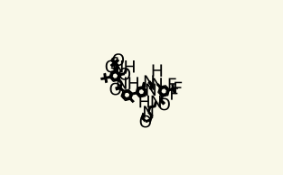 COc1c(NC(=O)c2ccc(C)c(-c3ccc4nc(Nc5cc(C(=O)NCCN6CCOCC6)cc(C(F)(F)F)c5)ncc4c3)c2)cc(C(C)(C)C)cc1NS(C)(=O)=O